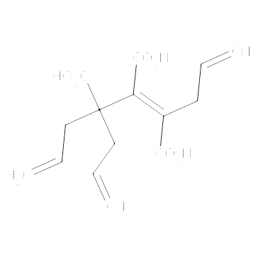 C=CCC(C(=O)O)=C(C(=O)O)C(CC=C)(CC=C)C(=O)O